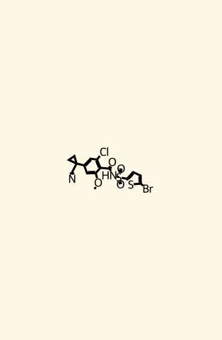 COc1cc(C2(C#N)CC2)cc(Cl)c1C(=O)NS(=O)(=O)c1ccc(Br)s1